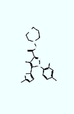 Cc1ccc(-c2c(C)c(C(=O)NN3CCCCCC3)nn2-c2ccc(Cl)cc2Cl)s1